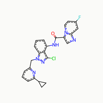 O=C(Nc1cccc2c1c(Cl)nn2Cc1cccc(C2CC2)n1)c1cnc2cc(F)ccn12